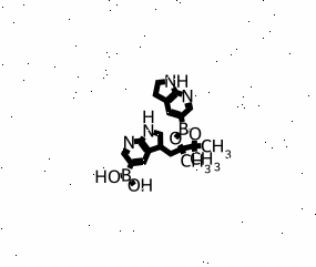 CC1(C)OB(c2cnc3c(c2)CCN3)OC1(C)CC1CNc2ncc(B(O)O)cc21